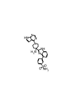 NC1(c2nc3c(-c4cccc(S(N)(=O)=O)c4)cccc3[nH]2)CCN(c2ncnc3[nH]ccc23)CC1